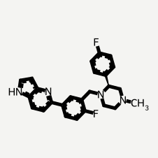 CN1CCN(Cc2cc(-c3ccc4[nH]ccc4n3)ccc2F)[C@@H](c2ccc(F)cc2)C1